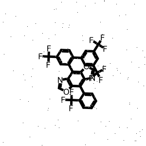 FC(F)(F)c1cc(-c2ccc(C(F)(F)F)cc2-c2c3ncoc3c(-c3ccccc3C(F)(F)F)c3ncoc23)cc(C(F)(F)F)c1